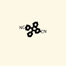 N#Cc1ccc(/C(=C(\c2ccccc2)c2ccc(C#N)cc2)c2ccccc2)cc1